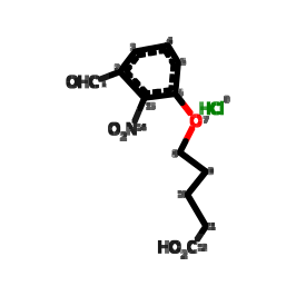 Cl.O=Cc1cccc(OCCCCC(=O)O)c1[N+](=O)[O-]